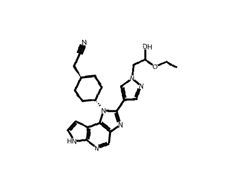 CCOC(O)Cn1cc(-c2nc3cnc4[nH]ccc4c3n2[C@H]2CC[C@H](CC#N)CC2)cn1